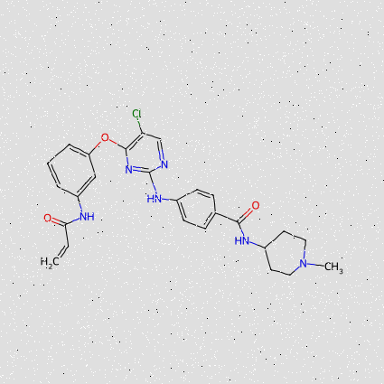 C=CC(=O)Nc1cccc(Oc2nc(Nc3ccc(C(=O)NC4CCN(C)CC4)cc3)ncc2Cl)c1